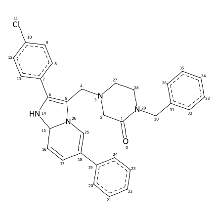 O=C1CN(CC2=C(c3ccc(Cl)cc3)NC3C=CC(c4ccccc4)=CN23)CCN1Cc1ccccc1